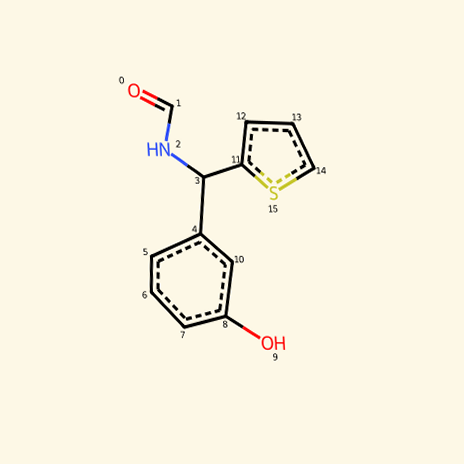 O=CNC(c1cccc(O)c1)c1cccs1